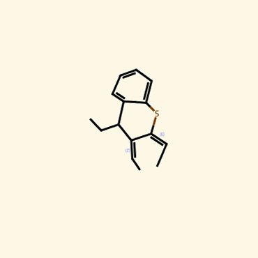 C/C=C1\C(=C/C)Sc2ccccc2C1CC